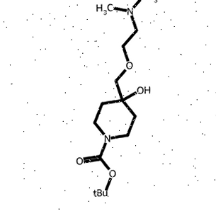 CN(C)CCOCC1(O)CCN(C(=O)OC(C)(C)C)CC1